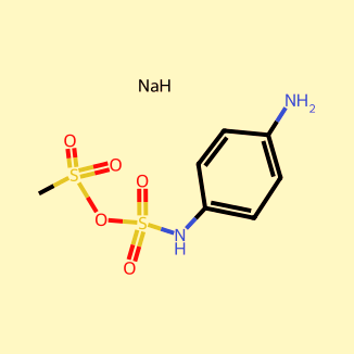 CS(=O)(=O)OS(=O)(=O)Nc1ccc(N)cc1.[NaH]